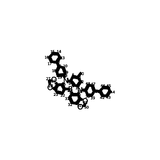 Cc1cc2c3c(c1)N(c1ccc(-c4ccccc4)cc1)c1c(ccc4c1OCO4)B3c1ccc3c(c1N2c1ccc(-c2ccccc2)cc1)OCO3